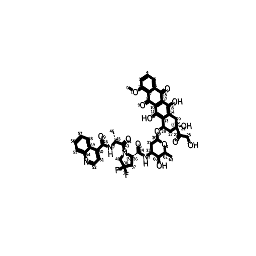 COc1cccc2c1C(=O)c1c(O)c3c(c(O)c1C2=O)C[C@@](O)(C(=O)CO)CC3OC1CC(NC(=O)[C@@H]2CC(F)(F)CN2C(=O)[C@@H](C)NC(=O)c2ccnc3ccccc23)C(O)C(C)O1